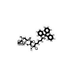 CN(CCN(C)C(=O)[C@H](CC(=O)O)N(C)C(=O)CCCCCSC(c1ccccc1)(c1ccccc1)c1ccccc1)C(=O)OC(C)(C)C